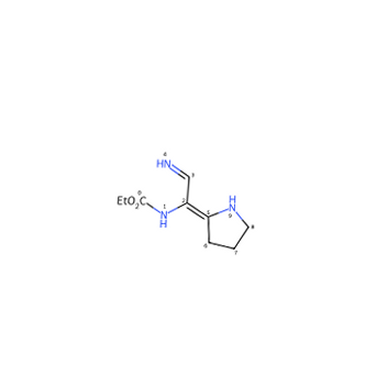 CCOC(=O)N/C(C=N)=C1\CCCN1